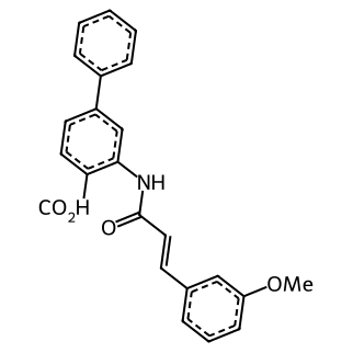 COc1cccc(C=CC(=O)Nc2cc(-c3ccccc3)ccc2C(=O)O)c1